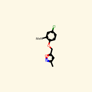 CNc1cc(Cl)ccc1OCc1cc(C)no1